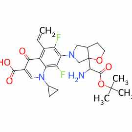 C=Cc1c(F)c(N2CC3CCOC3(C(N)C(=O)OC(C)(C)C)C2)c(F)c2c1c(=O)c(C(=O)O)cn2C1CC1